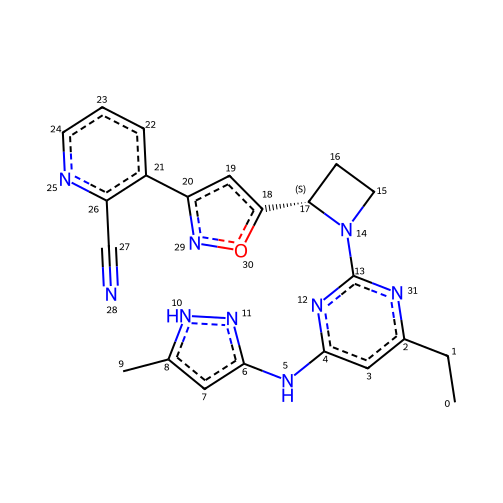 CCc1cc(Nc2cc(C)[nH]n2)nc(N2CC[C@H]2c2cc(-c3cccnc3C#N)no2)n1